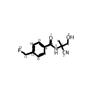 CC(C#N)(CO)NC(=O)c1ccc(CF)cc1